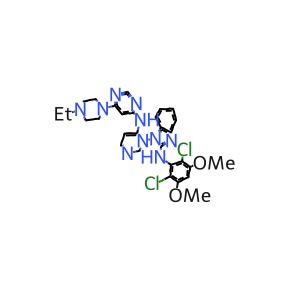 CCN1CCN(c2cc(NC3=CC=NCN3n3c(Nc4c(Cl)c(OC)cc(OC)c4Cl)nc4ccccc43)ncn2)CC1